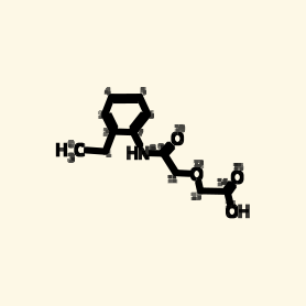 CCc1ccccc1NC(=O)COCC(=O)O